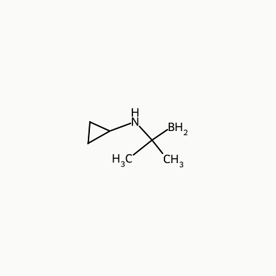 BC(C)(C)NC1CC1